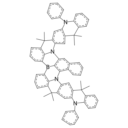 CC1(C)c2ccccc2N(c2ccccc2)c2cc3c(cc21)N1c2cc4ccccc4c4c2B(c2cccc(c21)C3(C)C)c1cccc2c1N4c1cc3c(cc1C2(C)C)N(c1ccccc1)c1ccccc1C3(C)C